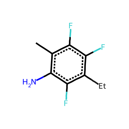 CCc1c(F)c(N)c(C)c(F)c1F